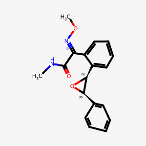 CNC(=O)/C(=N/OC)c1ccccc1[C@@H]1O[C@@H]1c1ccccc1